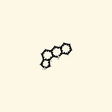 c1ccc2nc3c(ccc4cscc43)cc2c1